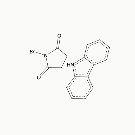 O=C1CCC(=O)N1Br.c1ccc2c(c1)[nH]c1ccccc12